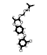 CC(C)=NOCOC(=O)C(C)Oc1ccc(Oc2ccc(Cl)cc2Cl)cc1